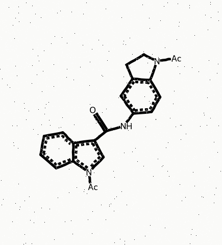 CC(=O)N1CCc2cc(NC(=O)c3cn(C(C)=O)c4ccccc34)ccc21